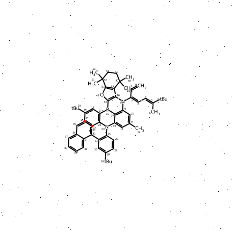 C=C/C(=C\C=C(/C)C(C)(C)C)N1c2cc(C)cc3c2B(c2cc(C(C)(C)C)ccc2N3c2ccc(C(C)(C)C)cc2-c2cccc3ccccc23)c2oc3c(c21)C(C)(C)CCC3(C)C